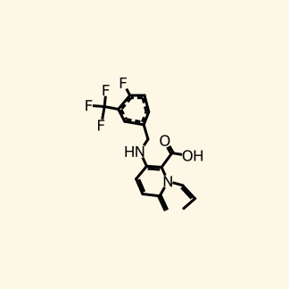 C=C1C=CC(NCc2ccc(F)c(C(F)(F)F)c2)=C(C(=O)O)N1/C=C\C